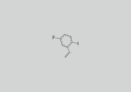 C=[C]c1cc(F)ccc1I